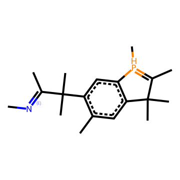 C/N=C(\C)C(C)(C)c1cc2c(cc1C)C(C)(C)C(C)=[PH]2C